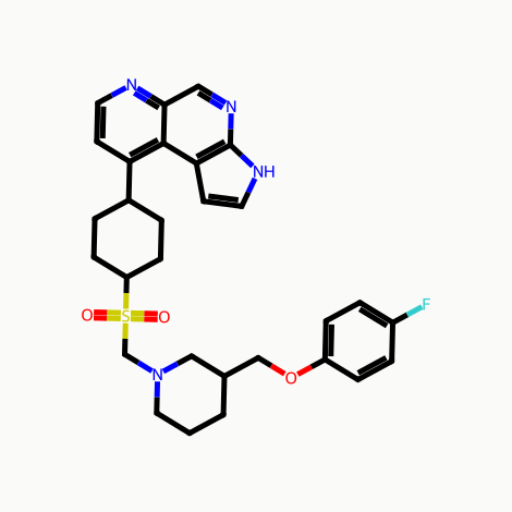 O=S(=O)(CN1CCCC(COc2ccc(F)cc2)C1)C1CCC(c2ccnc3cnc4[nH]ccc4c23)CC1